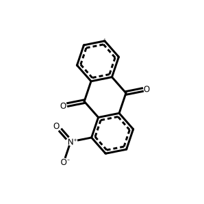 O=C1c2c[c]ccc2C(=O)c2c1cccc2[N+](=O)[O-]